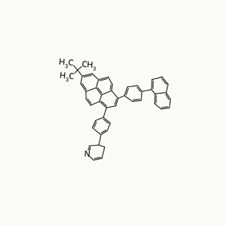 CC(C)(C)c1cc2ccc3c(-c4ccc(-c5cccc6ccccc56)cc4)cc(-c4ccc(C5C=NC=CC5)cc4)c4ccc(c1)c2c34